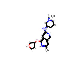 N#Cc1cc2cnc(NC3CCCN(C(=O)O)C3)cc2c(OC2CCOC2)n1